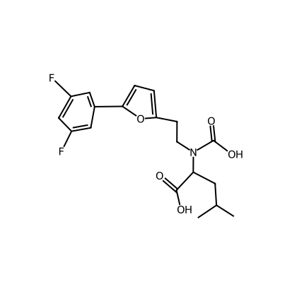 CC(C)CC(C(=O)O)N(CCc1ccc(-c2cc(F)cc(F)c2)o1)C(=O)O